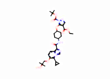 CCOC(=O)c1cnn(C(=O)OC(C)(C)C)c1OC1CCC(NC(=O)c2ncn3c(C4CC4)c(OCC(C)(C)O)ccc23)CC1